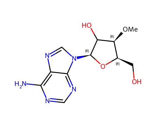 CO[C@@H]1C(O)[C@H](n2cnc3c(N)ncnc32)O[C@@H]1CO